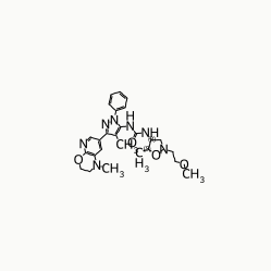 COCCN1C[C@@H](NC(=O)Nc2c(C)c(-c3cnc4c(c3)N(C)CCO4)nn2-c2ccccc2)[C@H](C)O1